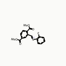 COC(=O)c1ccc(C(=O)OC)c(/C=N/c2ccccc2F)c1